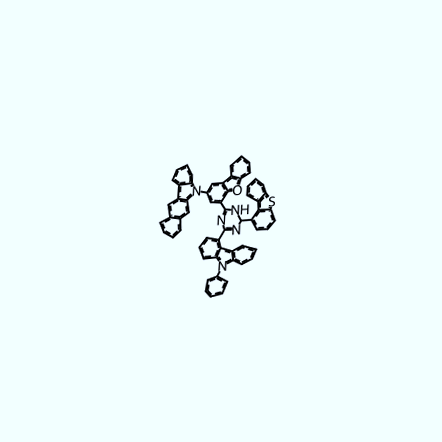 c1ccc(-n2c3ccccc3c3c(C4=NC(c5cccc6sc7ccccc7c56)NC(c5cc(-n6c7ccccc7c7cc8ccccc8cc76)cc6c5oc5ccccc56)=N4)cccc32)cc1